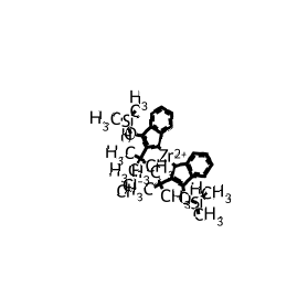 C[SiH](C)OC1=C(C(C)(C)C)[CH]([Zr+2][CH]2C(C(C)(C)C)=C(O[SiH](C)C)c3ccccc32)c2ccccc21.[Cl-].[Cl-]